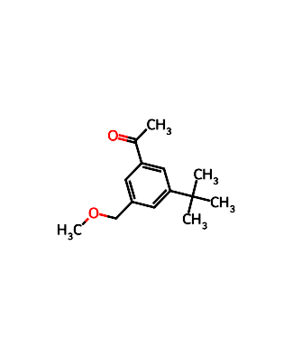 COCc1cc(C(C)=O)cc(C(C)(C)C)c1